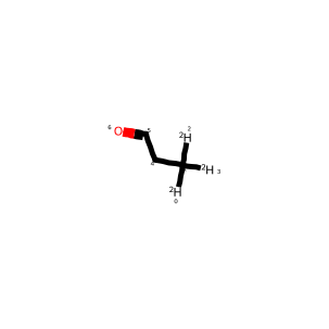 [2H]C([2H])([2H])CC=O